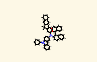 CC1(C)c2cc(N(c3ccc4c(c3)c3ccccc3n4-c3ccccc3)c3ccc4ccccc4c3-c3cccc4ccccc34)ccc2-c2cc3ccccc3cc21